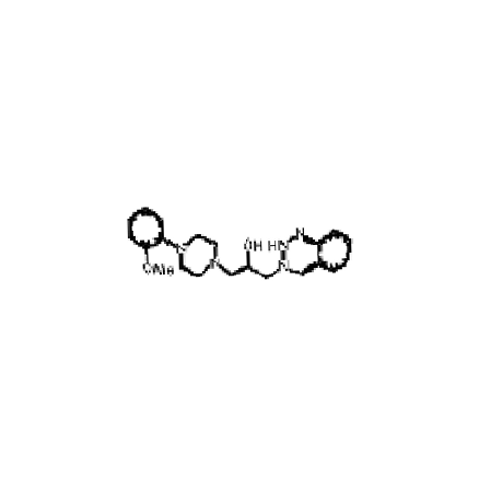 COc1ccccc1N1CCN(CC(O)CN2C=c3ccccc3=NN2)CC1